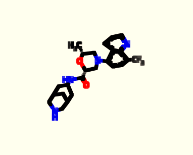 C[C@@H]1CN(c2ccc(C(F)(F)F)c3ncccc23)C[C@H](C(=O)NC2CC3CNCC(C3)C2)O1